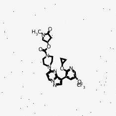 CN1C[C@H](OC(=O)N2CCN(c3ccn4ncc(-c5cc(OC(F)(F)F)cnc5OC5CC5)c4n3)CC2)CC1=O